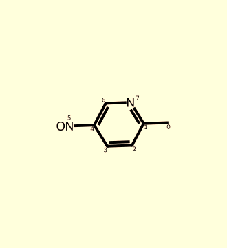 Cc1ccc(N=O)cn1